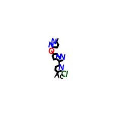 CC(=O)c1ccc(-c2cnn3cc(Oc4ccc(C)nn4)ccc23)nc1Cl